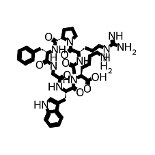 CC(=O)N[C@@H](CCCNC(=N)N)C(=O)N1CCC[C@H]1C(=O)N[C@@H](Cc1ccccc1)C(=O)NCC(=O)N[C@@H](Cc1c[nH]c2ccccc12)C(=O)N[C@@H](CCCCN)C(=O)O